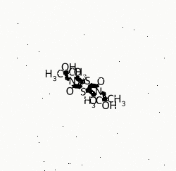 CC(C)(O)Cn1c(=O)c2sc3c(=O)n(CC(C)(C)O)c(=O)c3sc2c1=O